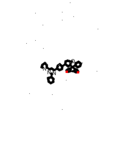 c1ccc(-c2nc(-c3ccc(-c4ccc5c(c4)C4(c6ccccc6O5)c5ccccc5-c5ccccc54)cc3)cc(-c3ccccn3)n2)cc1